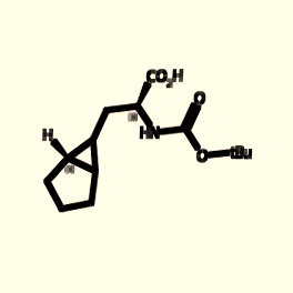 CC(C)(C)OC(=O)N[C@@H](CC1C2CCC[C@@H]21)C(=O)O